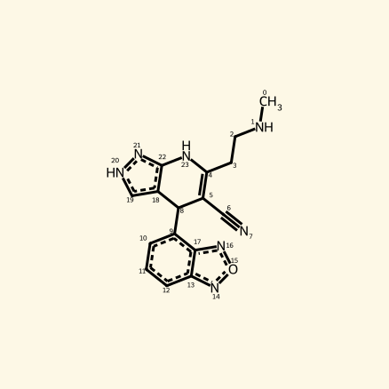 CNCCC1=C(C#N)C(c2cccc3nonc23)c2c[nH]nc2N1